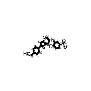 O=[N+]([O-])c1ccc(Oc2ccnc3cc(-c4ccc(CO)cc4)sc23)c(F)c1